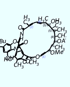 CO[C@H]1/C=C/O[C@@]2(C)Oc3c(C)c(O)c4c(=O)c(c5oc6cc(OC(C)(C)C)cc(O)c6nc-5c4c3C2=O)NC(=O)/C(C)=C\C=C\[C@H](C)[C@H](O)[C@@H](C)[C@@H](C)[C@@H](C)[C@H](OC(C)=O)[C@@H]1C